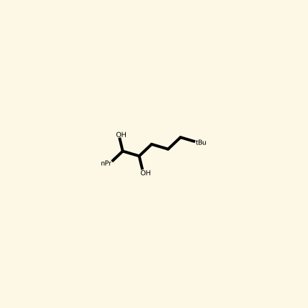 CCCC(O)C(O)CCCC(C)(C)C